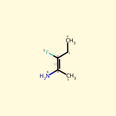 CC/C(F)=C(\C)N